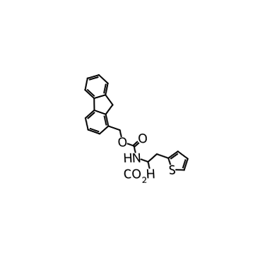 O=C(NC(Cc1cccs1)C(=O)O)OCc1cccc2c1Cc1ccccc1-2